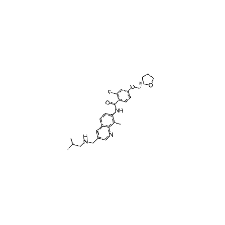 Cc1c(NC(=O)c2ccc(OC[C@@H]3CCCO3)cc2F)ccc2cc(CNCC(C)C)cnc12